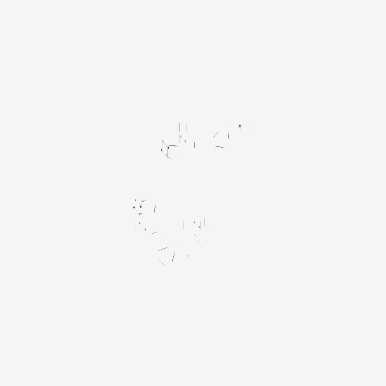 CCNC(=O)OC(C)c1cccc(CC(=O)Nc2ccc(CCCCc3nnc(NC(=O)Cc4cccc(OC(F)(F)F)c4)s3)nn2)c1